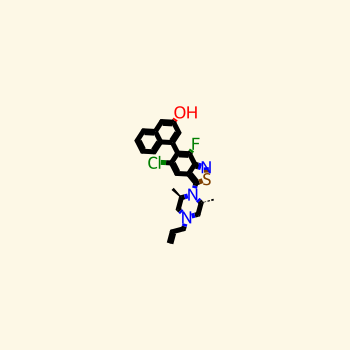 C=CCN1C[C@@H](C)N(c2snc3c(F)c(-c4cc(O)cc5ccccc45)c(Cl)cc23)[C@H](C)C1